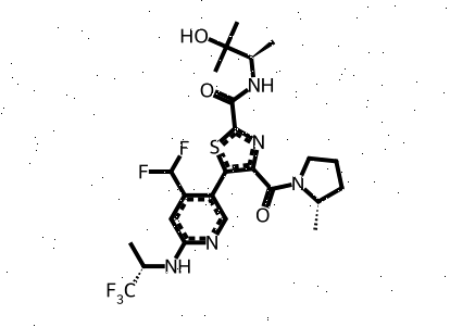 C[C@H](Nc1cc(C(F)F)c(-c2sc(C(=O)N[C@H](C)C(C)(C)O)nc2C(=O)N2CCC[C@@H]2C)cn1)C(F)(F)F